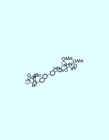 COC(=O)NC(C(=O)N1CC(OC)CC1c1ncc(-c2ccc(-c3ccc4cc(-c5cnc(C6CCCN6C(=O)OC(C)(C)C)[nH]5)ccc4c3)cc2)[nH]1)C(C)C